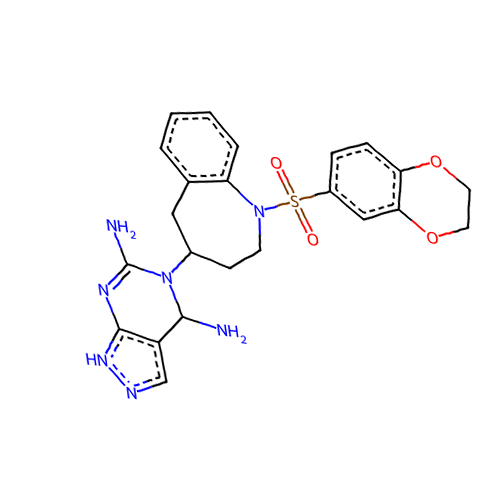 NC1=Nc2[nH]ncc2C(N)N1C1CCN(S(=O)(=O)c2ccc3c(c2)OCCO3)c2ccccc2C1